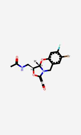 CC(=O)NC[C@@H]1OC(=C=O)N2Cc3cc(Br)c(F)cc3O[C@@H]12